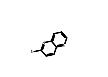 Brc1ccc2nc[c]cc2n1